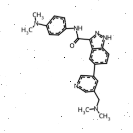 CN(C)Cc1cncc(-c2ccc3[nH]nc(C(=O)Nc4ccc(N(C)C)cc4)c3c2)c1